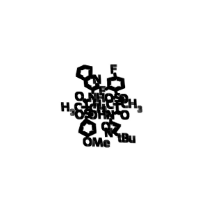 CC(C)(C)c1cc(NC(=O)C(C)(C)S(=O)(=O)c2ccc(F)cc2F)on1.COc1ccc(S(=O)(=O)C(C)(C)C(=O)Nc2cnc3ccccc3c2)cc1